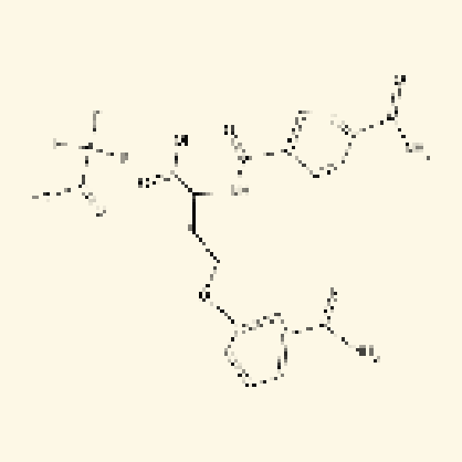 N=C(N)c1cccc(OCC[C@H](NC(=O)c2ccc(C(N)=O)cc2)C(=O)O)c1.O=C(O)C(F)(F)F